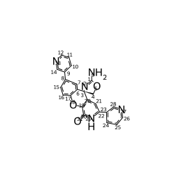 NC1=N[C@@]2(CO1)c1cc(-c3cccnc3)ccc1Oc1c2cc(-c2cccnc2)[nH]c1=O